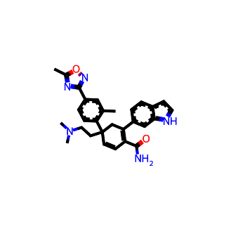 Cc1nc(-c2ccc(C3(CCN(C)C)C=CC(C(N)=O)=C(c4ccc5cc[nH]c5c4)C3)c(C)c2)no1